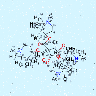 CCC(C(=O)OC1(C)CCN(C(C)=O)C(C)(C)C1(C)C)C(C(=O)OC1(C)CCN(C(C)=O)C(C)(C)C1(C)C)(C(=O)OC1(C)CCN(C(C)=O)C(C)(C)C1(C)C)C(=O)OC1(C)CCN(C(C)=O)C(C)(C)C1(C)C